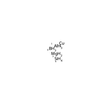 B.[AlH3].[Cu].[MgH2].[SiH4]